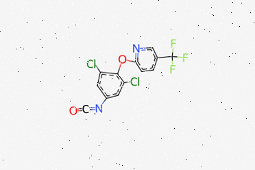 O=C=Nc1cc(Cl)c(Oc2ccc(C(F)(F)F)cn2)c(Cl)c1